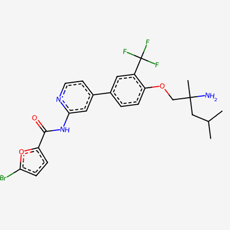 CC(C)CC(C)(N)COc1ccc(-c2ccnc(NC(=O)c3ccc(Br)o3)c2)cc1C(F)(F)F